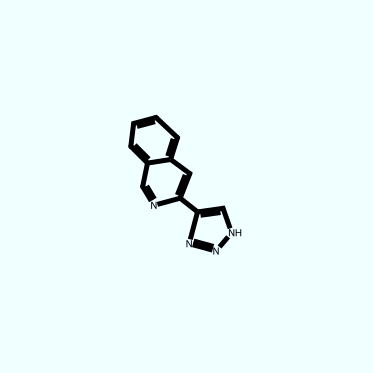 c1ccc2cc(-c3c[nH]nn3)ncc2c1